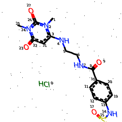 Cl.Cn1c(NCCNC(=O)c2ccc(NS(C)(=O)=O)cc2)cc(=O)n(C)c1=O